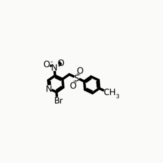 Cc1ccc(S(=O)(=O)Cc2cc(Br)ncc2[N+](=O)[O-])cc1